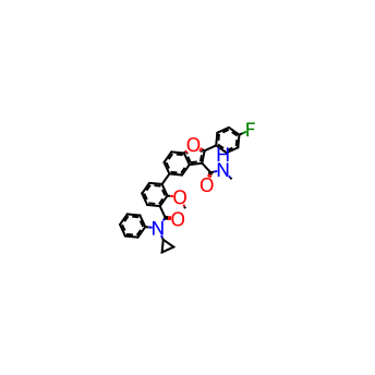 CNC(=O)c1c(-c2ccc(F)cc2)oc2ccc(-c3cccc(C(=O)N(c4ccccc4)C4CC4)c3OC)cc12